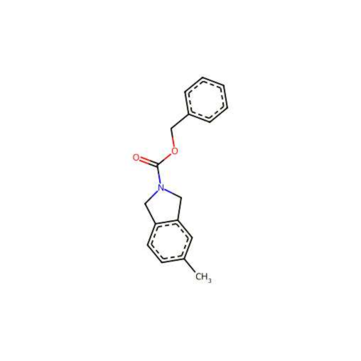 Cc1ccc2c(c1)CN(C(=O)OCc1ccccc1)C2